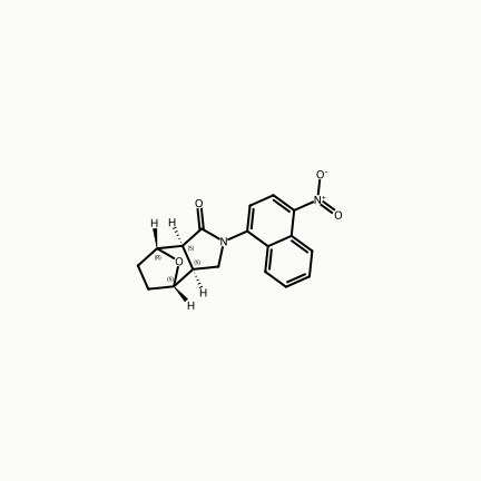 O=C1[C@H]2[C@@H](CN1c1ccc([N+](=O)[O-])c3ccccc13)[C@@H]1CC[C@H]2O1